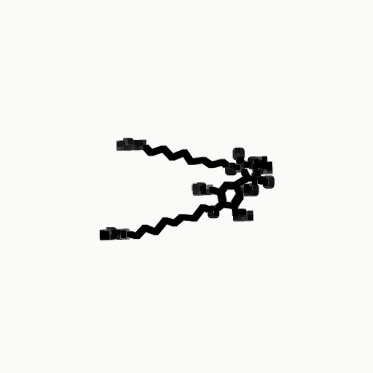 CCCCCCCCCCCCCCCCCCOc1c(C(C)(C)C)cc(C(P(=O)(O)O)P(=O)(O)OCCCCCCCCCCCCCCCCCC)cc1C(C)(C)C